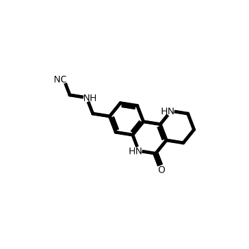 N#CCNCc1ccc2c3c(c(=O)[nH]c2c1)CCCN3